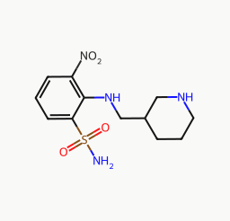 NS(=O)(=O)c1cccc([N+](=O)[O-])c1NCC1CCCNC1